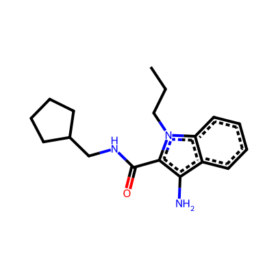 CCCn1c(C(=O)NCC2CCCC2)c(N)c2ccccc21